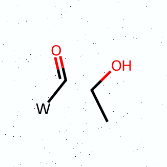 CCO.O=[CH][W]